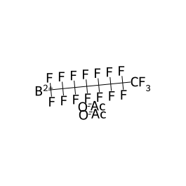 CC(=O)[O-].CC(=O)[O-].[B+2]C(F)(F)C(F)(F)C(F)(F)C(F)(F)C(F)(F)C(F)(F)C(F)(F)C(F)(F)F